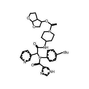 C=C(OC1COC2OCCC12)N1CCC(NC(=O)C(c2cccnc2)N(C(=O)c2c[nH]cn2)c2ccc(C(C)(C)C)cc2)CC1